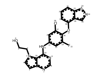 OCCn1ccc2ncnc(Nc3cc(F)c(Oc4cccc5sncc45)c(Cl)c3)c21